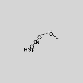 CCCCCOC(C)CCCC=Cc1ccc(-c2ccc(-c3ccc(O)c(F)c3)cn2)cc1